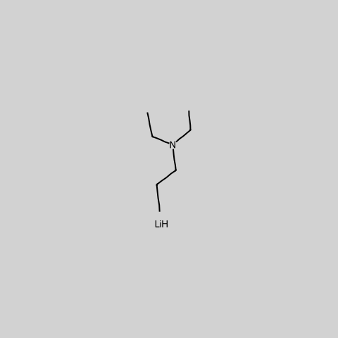 CCCN(CC)CC.[LiH]